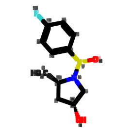 O=C(O)[C@@H]1C[C@@H](O)CN1[S+]([O-])c1ccc(F)cc1